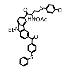 CCn1c2ccc(C(=O)c3ccc(Sc4ccccc4)cc3)cc2c2cc(C(=O)C(CCSc3ccc(Cl)cc3)NOC(C)=O)ccc21